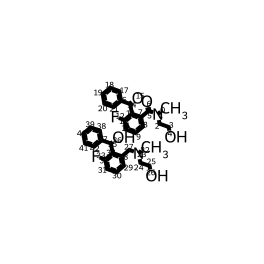 CN(CCO)C(=O)c1cccc(F)c1C(=O)c1ccccc1.CN(CCO)Cc1cccc(F)c1C(O)c1ccccc1